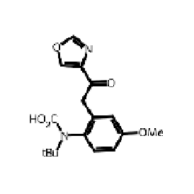 COc1ccc(N(C(=O)O)C(C)(C)C)c(CC(=O)c2cocn2)c1